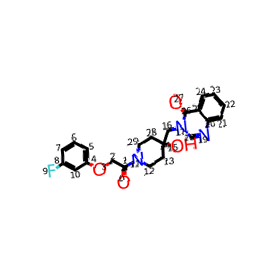 O=C(COc1cccc(F)c1)N1CCC(O)(Cn2cnc3ccccc3c2=O)CC1